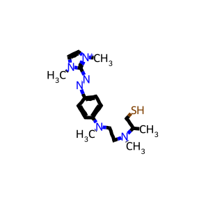 CC(CS)N(C)CCN(C)c1ccc(/N=N/c2n(C)cc[n+]2C)cc1